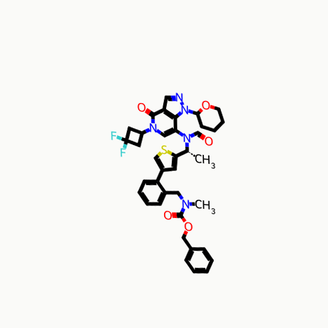 C[C@H](c1cc(-c2ccccc2CN(C)C(=O)OCc2ccccc2)cs1)N(C=O)c1cn(C2CC(F)(F)C2)c(=O)c2cnn(C3CCCCO3)c12